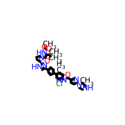 COC(=O)N[C@H](C(=O)N1CCC[C@H]1c1nc(-c2ccc(-c3cc(Cl)c(NC(=O)c4ccc(N5CCNC[C@H]5C)nc4)cc3C)cc2)c[nH]1)C(C)C